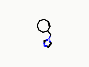 C1=C\C(Cn2ccnc2)CCCCC/1